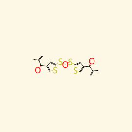 C=C(C)C(=O)c1csc(SOSc2cc(C(=O)C(=C)C)cs2)c1